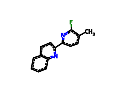 Cc1ccc(-c2ccc3ccccc3n2)nc1F